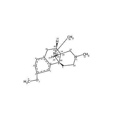 COc1ccc2c(c1)[C@@]13CCN(C)C[C@H]1[C@@H](C2)N(C)CC3